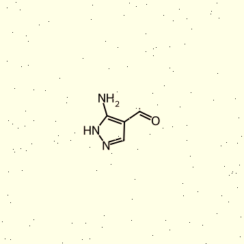 Nc1[nH]ncc1[C]=O